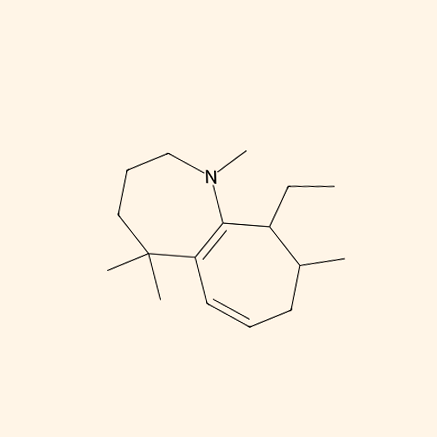 CCC1C2=C(C=CCC1C)C(C)(C)CCCN2C